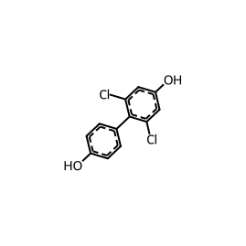 Oc1ccc(-c2c(Cl)cc(O)cc2Cl)cc1